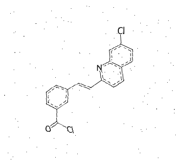 O=C(Cl)c1cccc(C=Cc2ccc3ccc(Cl)cc3n2)c1